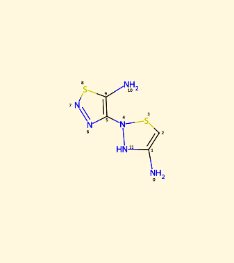 NC1=CSN(c2nnsc2N)N1